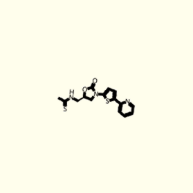 CC(=S)NC[C@@H]1CN(c2ccc(-c3ccccn3)s2)C(=O)O1